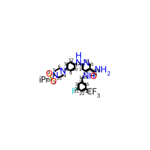 CC(C)S(=O)(=O)N1CCN(c2ccc(Nc3cc(NCc4cc(F)cc(C(F)(F)F)c4)c(C(N)=O)cn3)cc2)CC1